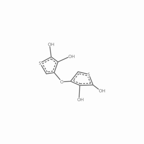 Oc1scc(Oc2csc(O)c2O)c1O